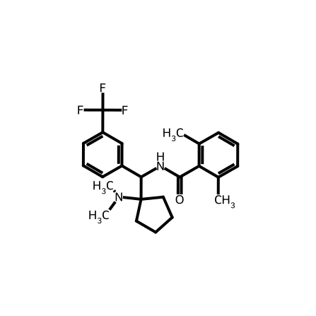 Cc1cccc(C)c1C(=O)NC(c1cccc(C(F)(F)F)c1)C1(N(C)C)CCCC1